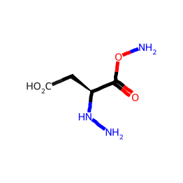 NN[C@@H](CC(=O)O)C(=O)ON